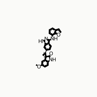 COc1ccc2c(c1)[C@]1(C[C@H]1c1ccc3c(Nc4cccc5ccoc45)n[nH]c3c1)C(=O)N2